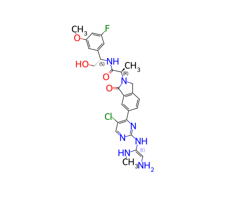 CN/C(=C\N)Nc1ncc(Cl)c(-c2ccc3c(c2)C(=O)N([C@H](C)C(=O)N[C@H](CO)c2cc(F)cc(OC)c2)C3)n1